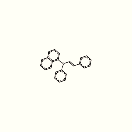 C(=CN(c1ccccc1)c1cccc2ccccc12)c1ccccc1